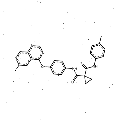 Cc1ccc(NC(=O)C2(C(=O)Nc3ccc(Oc4ncnc5cnc(C)cc45)cc3)CC2)cc1